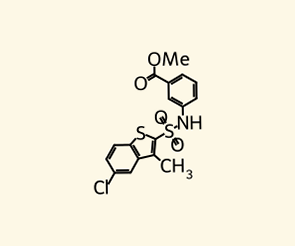 COC(=O)c1cccc(NS(=O)(=O)c2sc3ccc(Cl)cc3c2C)c1